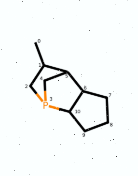 CC1CP2CC1C1CCCC12